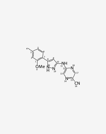 COc1cc(C)ccc1-c1cc(Nc2cnc(C#N)cn2)n[nH]1